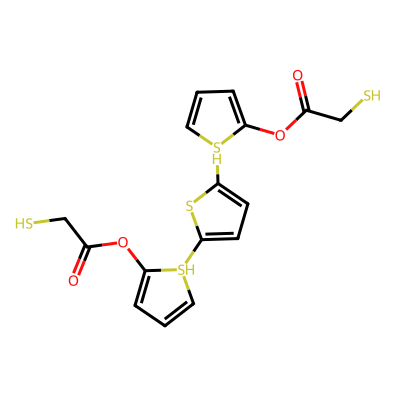 O=C(CS)OC1=CC=C[SH]1c1ccc([SH]2C=CC=C2OC(=O)CS)s1